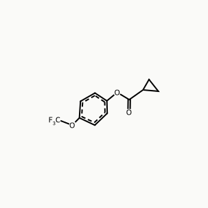 O=C(Oc1ccc(OC(F)(F)F)cc1)C1CC1